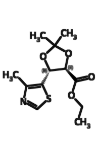 CCOC(=O)[C@@H]1OC(C)(C)O[C@H]1c1scnc1C